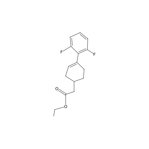 CCOC(=O)CC1CC=C(c2c(F)cccc2F)CC1